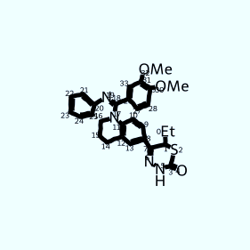 CCC1SC(=O)NN=C1c1ccc2c(c1)CCCN2/C(=N\c1ccccc1)c1ccc(OC)c(OC)c1